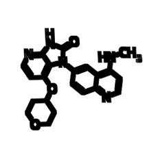 CNc1ccnc2ccc(-n3c(=O)[nH]c4nccc(OC5CCOCC5)c43)cc12